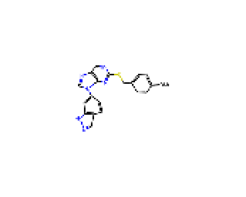 COc1ccc(CSc2ncc3ncn(-c4ccc5cn[nH]c5c4)c3n2)cc1